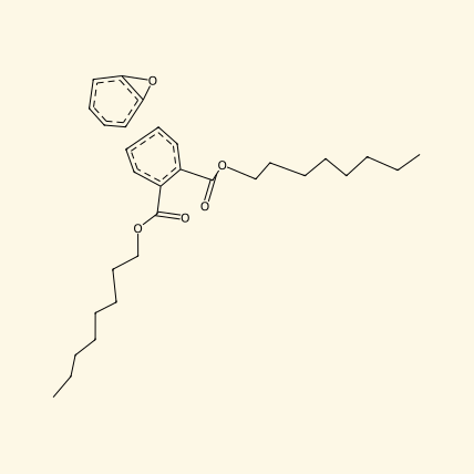 CCCCCCCCOC(=O)c1ccccc1C(=O)OCCCCCCCC.c1ccc2c(c1)O2